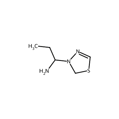 CCC(N)N1CSC=N1